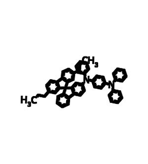 CCCc1ccc2c(c1)C1(c3ccccc3-c3ccc(N(c4ccccc4)c4ccc(N(c5ccccc5)c5ccccc5)cc4)cc31)c1cc(CCC)ccc1-2